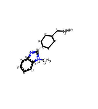 CNC[C@H]1CC[C@H](c2nc3ccccc3n2C)CC1